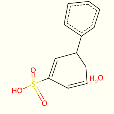 O.O=S(=O)(O)C1=CC(c2ccccc2)CC=C1